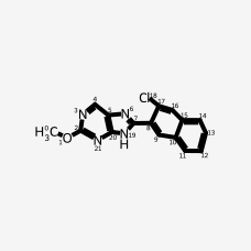 COc1ncc2nc(-c3cc4ccccc4cc3Cl)[nH]c2n1